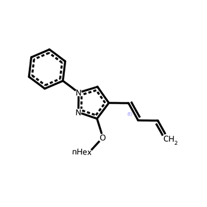 C=C/C=C/c1cn(-c2ccccc2)nc1OCCCCCC